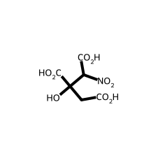 O=C(O)CC(O)(C(=O)O)C(C(=O)O)[N+](=O)[O-]